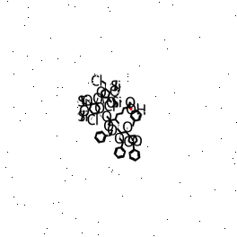 C[Si](C)(C)OC1C(O[Si](C)(C)C)[C@](CCl)(O[C@H]2O[C@H](COC(=O)C(CCCC(=O)O)C[C@@H](OCc3ccccc3)[C@@H](OCc3ccccc3)[C@H](OCc3ccccc3)C3COC(c4ccccc4)O3)[C@H](Cl)[C@H](O[Si](C)(C)C)[C@H]2O[Si](C)(C)C)O[C@H]1CCl